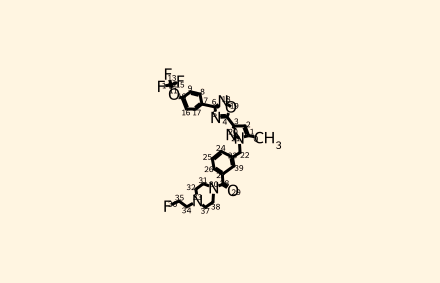 Cc1cc(-c2nc(-c3ccc(OC(F)(F)F)cc3)no2)nn1Cc1cccc(C(=O)N2CCN(CCF)CC2)c1